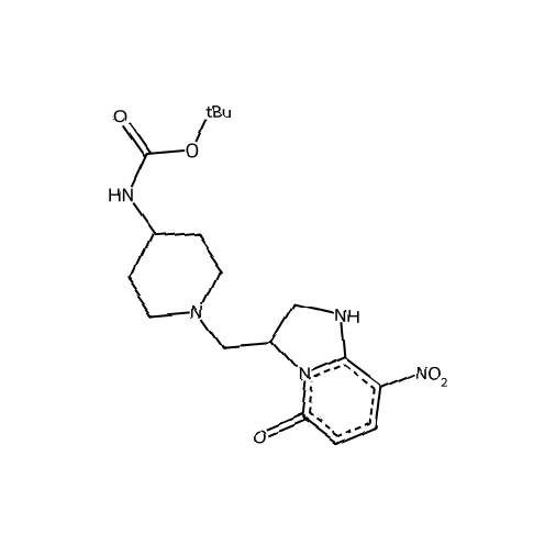 CC(C)(C)OC(=O)NC1CCN(CC2CNc3c([N+](=O)[O-])ccc(=O)n32)CC1